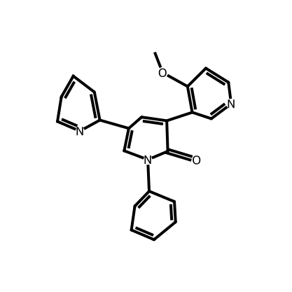 COc1ccncc1-c1cc(-c2ccccn2)cn(-c2ccccc2)c1=O